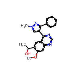 CCOc1cc2ncnc(-c3cn(C)nc3-c3ccccc3)c2cc1C(C)O